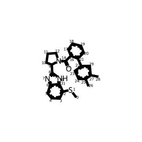 CSc1cccc2nc(C3CCCN3C(=O)c3ccccc3-c3ccc(C)c(C)c3)[nH]c12